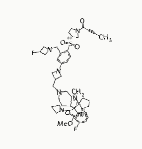 C=N[C@]1(C(CN2CCC2)(c2cccc(F)c2)C2CCN(CC3CN(c4ccc(S(=O)(=O)[C@@H]5CCN(C(=O)C#CC)C5)c(CN5CC(F)C5)c4)C3)CC2)CCC[C@@H]1NC(=O)OC